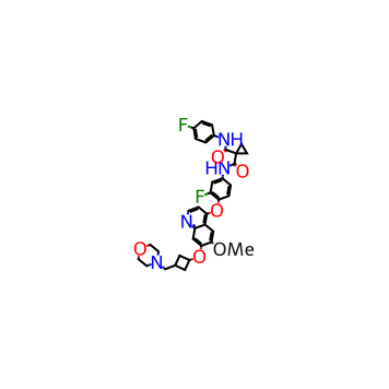 COc1cc2c(Oc3ccc(NC(=O)C4(C(=O)Nc5ccc(F)cc5)CC4)cc3F)ccnc2cc1OC1CC(CN2CCOCC2)C1